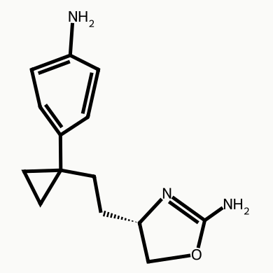 NC1=N[C@@H](CCC2(c3ccc(N)cc3)CC2)CO1